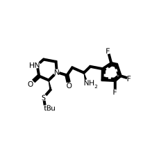 CC(C)(C)SC[C@H]1C(=O)NCCN1C(=O)C[C@H](N)Cc1cc(F)c(F)cc1F